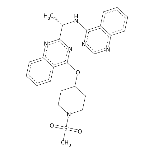 C[C@H](Nc1ncnc2ccccc12)c1nc(OC2CCN(S(C)(=O)=O)CC2)c2ccccc2n1